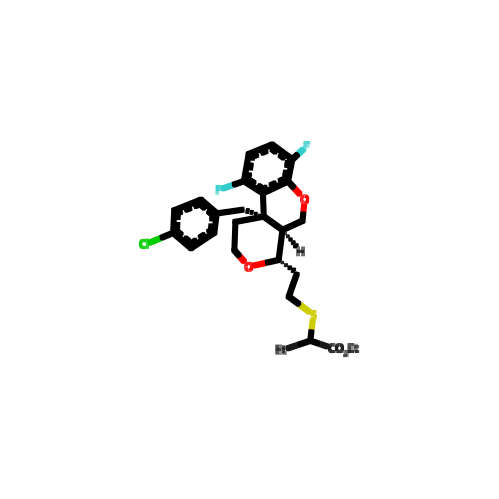 CCOC(=O)C(CC)SCC[C@@H]1OCC[C@@]2(Cc3ccc(Cl)cc3)c3c(F)ccc(F)c3OC[C@@H]12